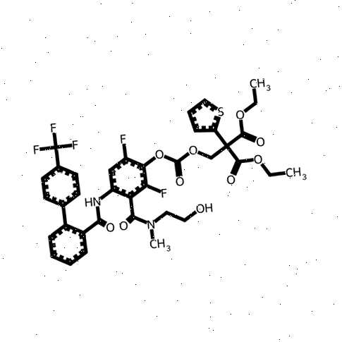 CCOC(=O)C(COC(=O)Oc1c(F)cc(NC(=O)c2ccccc2-c2ccc(C(F)(F)F)cc2)c(C(=O)N(C)CCO)c1F)(C(=O)OCC)c1cccs1